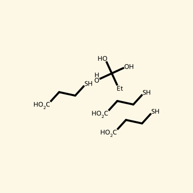 CCC(O)(O)O.O=C(O)CCS.O=C(O)CCS.O=C(O)CCS